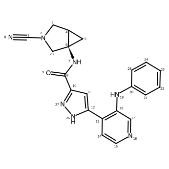 N#CN1CC2C[C@]2(NC(=O)c2cc(-c3ccncc3Nc3ccccc3)[nH]n2)C1